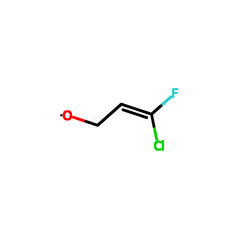 [O]CC=C(F)Cl